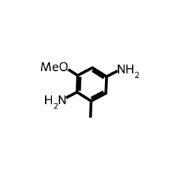 COc1cc(N)cc(C)c1N